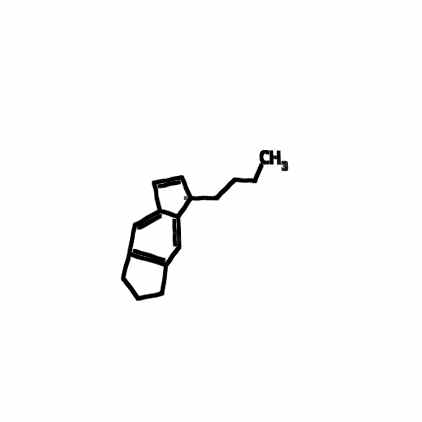 CCCC[C]1C=Cc2cc3c(cc21)CCC3